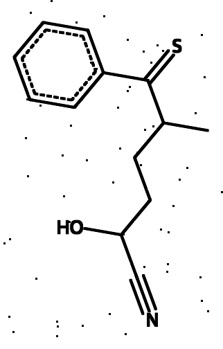 CC(CCC(O)C#N)C(=S)c1ccccc1